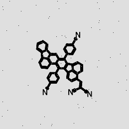 N#CC(C#N)=Cc1ccc2c3c(-c4ccc(C#N)cc4)c4c(cc5c6ccccc6c6cccc4c65)c(-c4ccc(C#N)cc4)c3c3cccc1c32